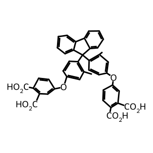 Cc1cc(Oc2ccc(C(=O)O)c(C(=O)O)c2)ccc1C1(c2ccc(Oc3ccc(C(=O)O)c(C(=O)O)c3)cc2C)c2ccccc2-c2ccccc21